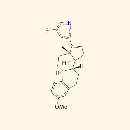 COc1ccc2c(c1)CC[C@@H]1[C@@H]2CC[C@]2(C)C(c3cncc(F)c3)=CC[C@@H]12